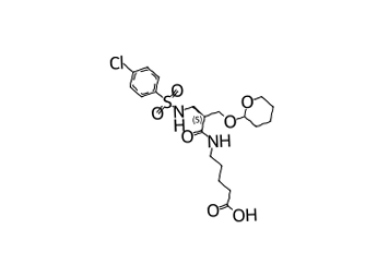 O=C(O)CCCCNC(=O)[C@@H](CNS(=O)(=O)c1ccc(Cl)cc1)COC1CCCCO1